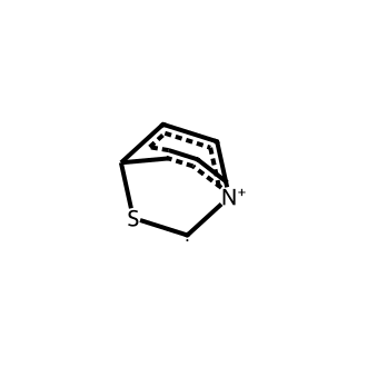 [CH]1Sc2cc[n+]1cc2